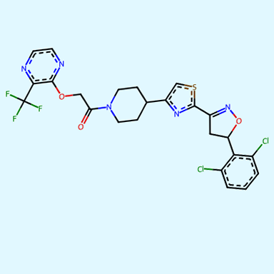 O=C(COc1nccnc1C(F)(F)F)N1CCC(c2csc(C3=NOC(c4c(Cl)cccc4Cl)C3)n2)CC1